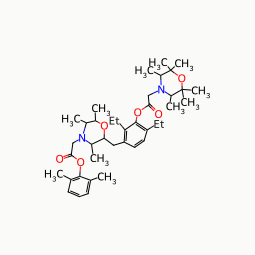 CCc1ccc(CC2OC(C)C(C)N(CC(=O)Oc3c(C)cccc3C)C2C)c(CC)c1OC(=O)CN1C(C)C(C)(C)OC(C)(C)C1C